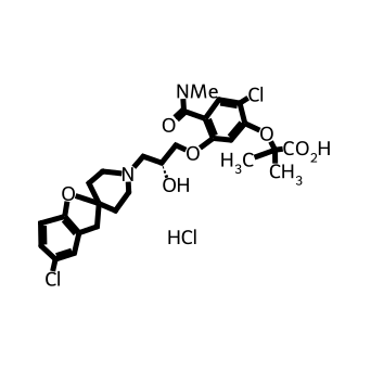 CNC(=O)c1cc(Cl)c(OC(C)(C)C(=O)O)cc1OC[C@H](O)CN1CCC2(CC1)Cc1cc(Cl)ccc1O2.Cl